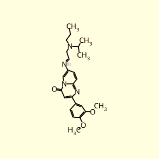 CCCN(C/C=N/c1ccc2nc(-c3ccc(OC)c(OC)c3)cc(=O)n2c1)C(C)C